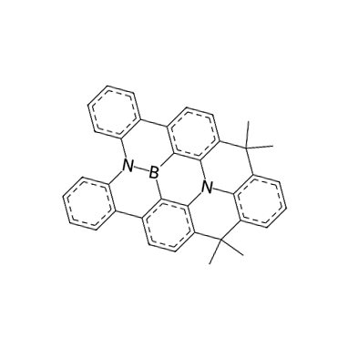 CC1(C)c2cccc3c2N2c4c1ccc1c4B4c5c(ccc(c52)C3(C)C)-c2ccccc2N4c2ccccc2-1